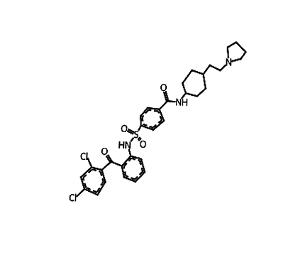 O=C(NC1CCC(CCN2CCCC2)CC1)c1ccc(S(=O)(=O)Nc2ccccc2C(=O)c2ccc(Cl)cc2Cl)cc1